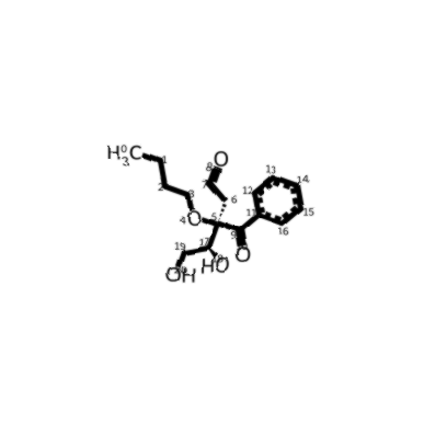 CCCCO[C@@](CC=O)(C(=O)c1ccccc1)[C@@H](O)CO